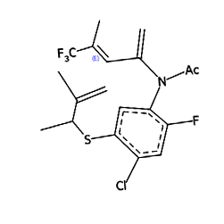 C=C(C)C(C)Sc1cc(N(C(=C)/C=C(\C)C(F)(F)F)C(C)=O)c(F)cc1Cl